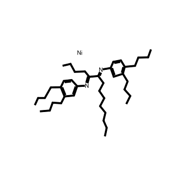 CCCCCCCCC(=Nc1ccc(CCCC)c(CCCC)c1)C(CCCC)=Nc1ccc(CCCC)c(CCCC)c1.[Ni]